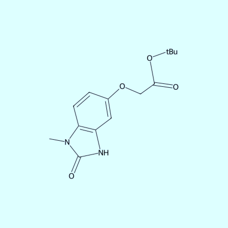 Cn1c(=O)[nH]c2cc(OCC(=O)OC(C)(C)C)ccc21